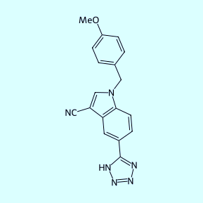 COc1ccc(Cn2cc(C#N)c3cc(-c4nnn[nH]4)ccc32)cc1